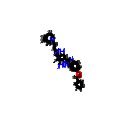 c1ccc(COc2ccc3nc(-c4ccc(CNCCN5CCCCC5)cc4)[nH]c3c2)cc1